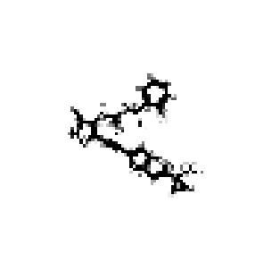 Cc1noc(C#Cc2cc3sc(C4(C(=O)O)CC4)cc3s2)c1NC(=O)O[C@H](C)c1ccccc1Cl